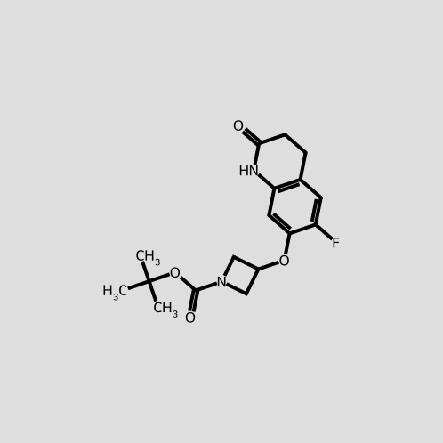 CC(C)(C)OC(=O)N1CC(Oc2cc3c(cc2F)CCC(=O)N3)C1